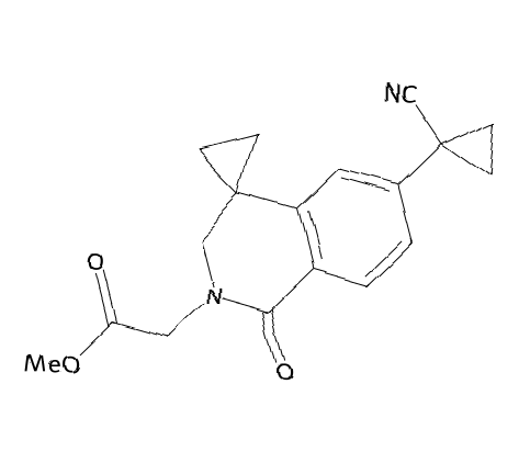 COC(=O)CN1CC2(CC2)c2cc(C3(C#N)CC3)ccc2C1=O